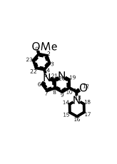 COc1ccc(-n2ccc3cc(C(=O)N4CCCCC4)cnc32)cc1